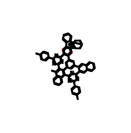 Cc1ccc(-c2nc(-c3ccc(C)cc3)nc(-c3cc4ccccc4cc3-c3cc(-c4ccc5c(c4)C4(c6ccccc6-5)C5CC6CC(C5)CC4C6)cc(-c4cc5ccccc5cc4-c4nc(-c5ccc(C)cc5)nc(-c5ccc(C)cc5)n4)c3)n2)cc1